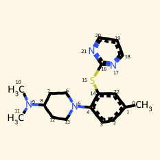 Cc1ccc(N2CCC(N(C)C)CC2)c(Sc2ncccn2)c1